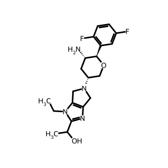 CCn1c(C(C)O)nc2c1CN([C@H]1CO[C@H](c3cc(F)ccc3F)[C@@H](N)C1)C2